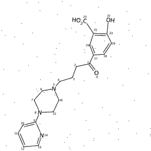 O=C(CCCN1CCN(c2ccccn2)CC1)c1ccc(O)c(C(=O)O)c1